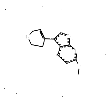 COc1ccc2c(C3=CCNCC3)c[nH]c2n1